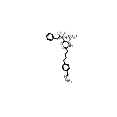 NN=Cc1ccc(CCCCC(=O)N[C@@H](CC(=O)O)C(=O)N[C@@H](Cc2ccccc2)C(=O)O)cc1